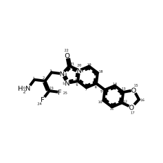 NCC(Cn1nc2cc(-c3ccc4c(c3)OCO4)ccn2c1=O)=C(F)F